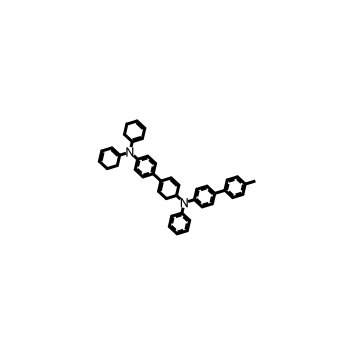 Cc1ccc(-c2ccc(N(c3ccccc3)C3C=CC(c4ccc(N(C5=CC=CCC5)C5=CC=CCC5)cc4)=CC3)cc2)cc1